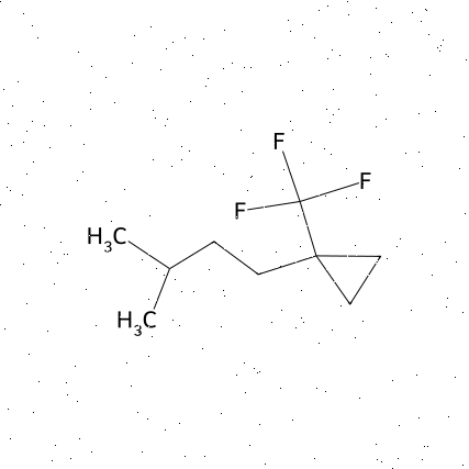 CC(C)CCC1(C(F)(F)F)CC1